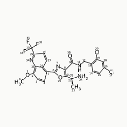 COc1ccc(-c2nc(C(=O)NCc3ccc(Cl)cc3Cl)c([C@H](C)N)o2)c2ccc(C(F)(F)F)nc12